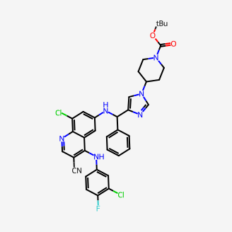 CC(C)(C)OC(=O)N1CCC(n2cnc(C(Nc3cc(Cl)c4ncc(C#N)c(Nc5ccc(F)c(Cl)c5)c4c3)c3ccccc3)c2)CC1